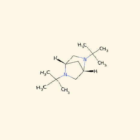 CC(C)(C)N1C[C@@H]2C[C@H]1CN2C(C)(C)C